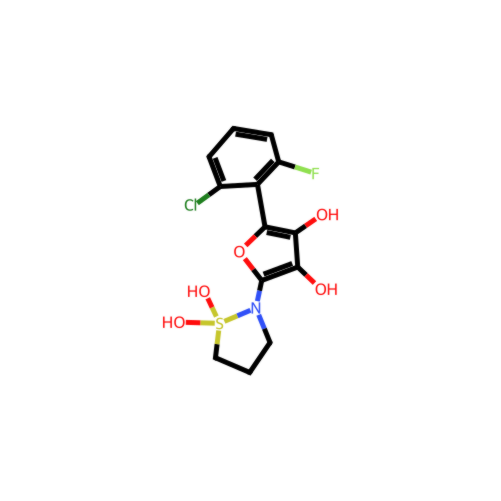 Oc1c(-c2c(F)cccc2Cl)oc(N2CCCS2(O)O)c1O